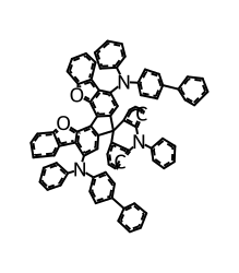 c1ccc(-c2ccc(N(c3ccccc3)c3cc4c(c5oc6ccccc6c35)-c3c(cc(N(c5ccccc5)c5ccc(-c6ccccc6)cc5)c5c3oc3ccccc35)C43c4ccccc4N(c4ccccc4)c4ccccc43)cc2)cc1